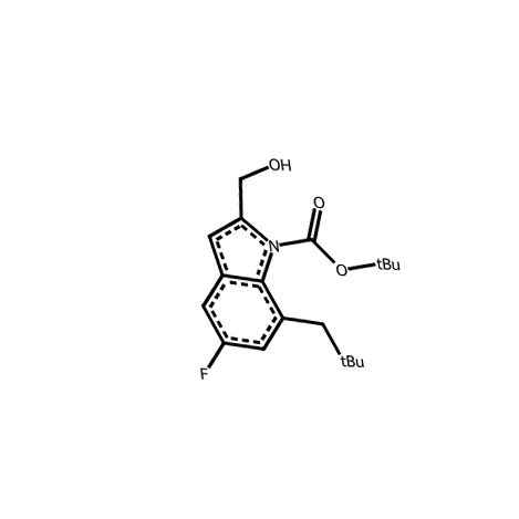 CC(C)(C)Cc1cc(F)cc2cc(CO)n(C(=O)OC(C)(C)C)c12